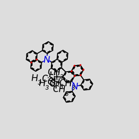 C[Si](C)(C)C1([Si](C)(C)C)c2cc(N(c3ccccc3)c3ccccc3-c3ccccc3)c3ccccc3c2-c2c1cc(N(c1ccccc1)c1ccccc1-c1ccccc1)c1ccccc21